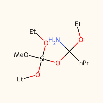 CCCC(N)(OCC)O[Si](OC)(OCC)OCC